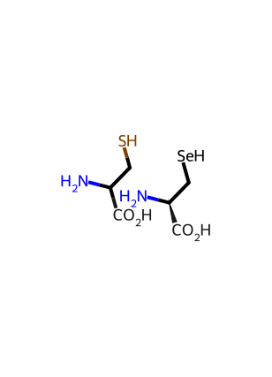 NC(CS)C(=O)O.N[C@@H](C[SeH])C(=O)O